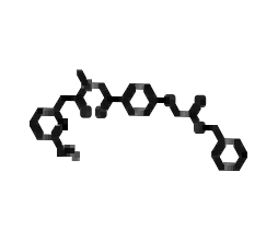 CN(CC(=O)c1ccc(OCC(=O)OCc2ccccc2)cc1)C(=O)Cc1cccc(N)n1